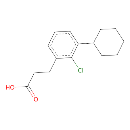 O=C(O)CCc1cccc(C2CCCCC2)c1Cl